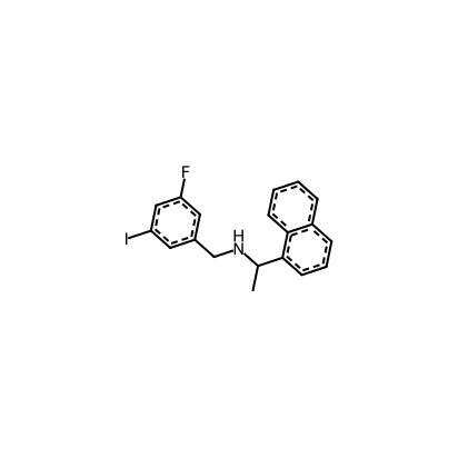 CC(NCc1cc(F)cc(I)c1)c1cccc2ccccc12